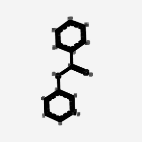 O=C(Oc1cccnc1)c1ccccc1